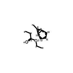 CCOC(=O)CC.Cc1c2cccc1-2